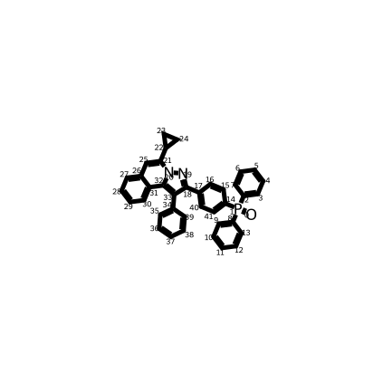 O=P(c1ccccc1)(c1ccccc1)c1ccc(-c2nn3c(C4CC4)cc4ccccc4c3c2-c2ccccc2)cc1